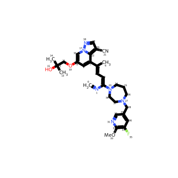 C=N/C(=C\C=C(/C)c1cc(OCC(C)(C)O)cn2ncc(C#N)c12)N1CCCN(Cc2cnc(OC)c(F)c2)CC1